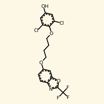 Oc1cc(Cl)c(OCCCCOc2ccc3nc(C(F)(F)F)oc3c2)c(Cl)c1